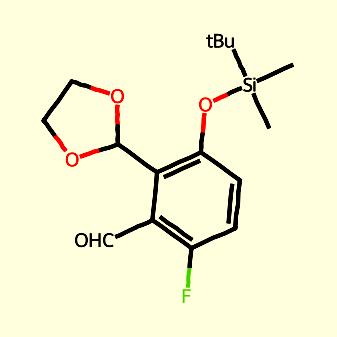 CC(C)(C)[Si](C)(C)Oc1ccc(F)c(C=O)c1C1OCCO1